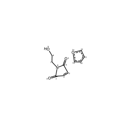 O=C1C=CC(=O)N1CCO.c1ccoc1